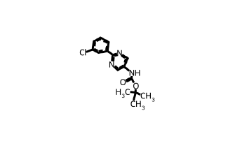 CC(C)(C)OC(=O)Nc1cnc(-c2cccc(Cl)c2)nc1